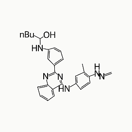 C=NNc1ccc(Nc2nc(-c3cccc(NC(O)CCCC)c3)nc3ccccc23)cc1C